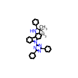 CC1(C)c2ccc3c(c2NC1c1ccccc1)c1ccccc1n3-c1nc(-c2ccccc2)nc(-c2ccccc2)n1